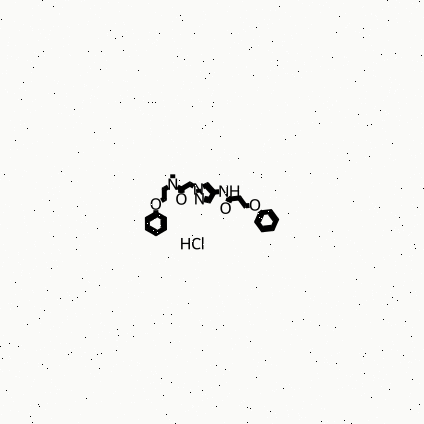 CN(CCOc1ccccc1)C(=O)Cn1cc(NC(=O)CCOc2ccccc2)cn1.Cl